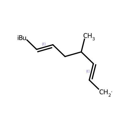 [CH2]/C=C/C(C)C/C=C/C(C)CC